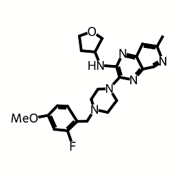 COc1ccc(CN2CCN(c3nc4cnc(C)cc4nc3NC3CCOC3)CC2)c(F)c1